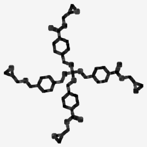 O=C(OCC1CO1)C1CCC(COC(OCC2CCC(COCC3CO3)CC2)(OCC2CCC(C(=O)OCC3CO3)CC2)OCC2CCC(C(=O)OCC3CO3)CC2)CC1